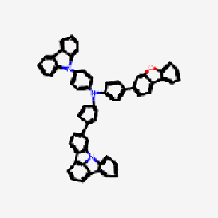 c1ccc2c(c1)oc1cc(-c3ccc(N(c4ccc(-c5ccc6c7cccc8c9ccccc9n(c6c5)c87)cc4)c4ccc(-n5c6ccccc6c6ccccc65)cc4)cc3)ccc12